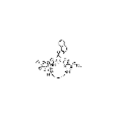 CC(C)(C)OC(=O)N[C@H]1CNCCCCC[C@@H]2C[C@@]2(C(=O)NS(=O)(=O)C2CC2)NC(=O)[C@@H]2C[C@@H](Oc3nccc4ccccc34)CN2C1=O